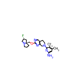 Cc1cc(N)nc(N2CCc3cnc(OC[C@@]45CCCN4C[C@H](F)C5)nc3C2)c1C(F)(F)F